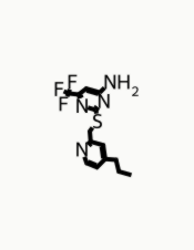 CCCc1ccnc(CSc2nc(N)cc(C(F)(F)F)n2)c1